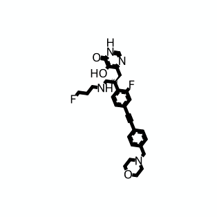 O=c1[nH]cnc(C[C@H](CNCCCF)c2ccc(C#Cc3ccc(CN4CCOCC4)cc3)cc2F)c1O